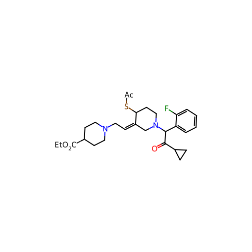 CCOC(=O)C1CCN(CC=C2CN(C(C(=O)C3CC3)c3ccccc3F)CCC2SC(C)=O)CC1